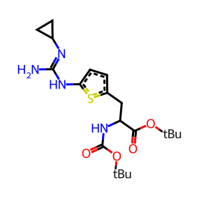 CC(C)(C)OC(=O)NC(Cc1ccc(NC(N)=NC2CC2)s1)C(=O)OC(C)(C)C